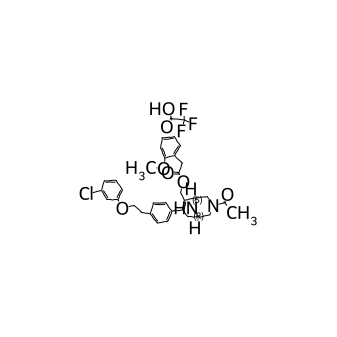 COc1ccccc1CC(=O)OCC1=C(c2ccc(CCOc3cccc(Cl)c3)cc2)C[C@@H]2CN(C(C)=O)C[C@H]1N2.O=C(O)C(F)(F)F